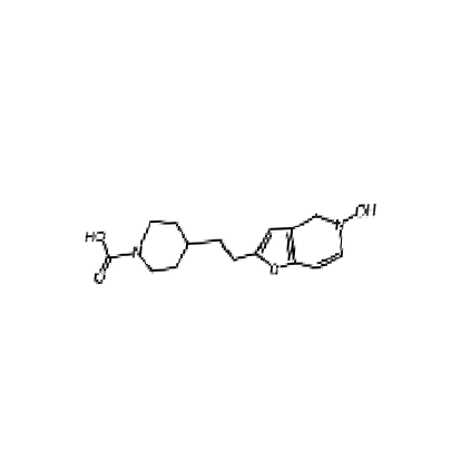 O=C(O)N1CCC(CCc2cc3c(o2)C=CN(O)C3)CC1